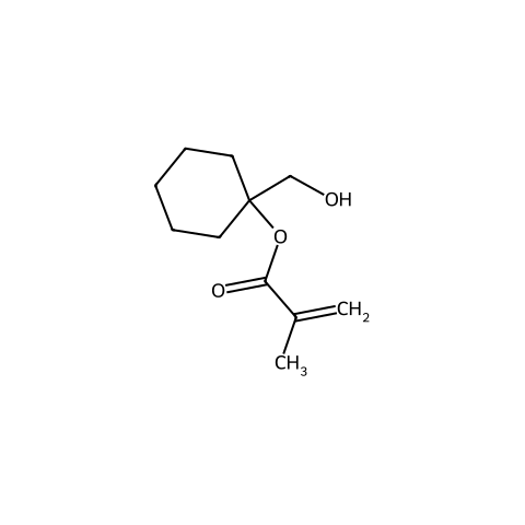 C=C(C)C(=O)OC1(CO)CCCCC1